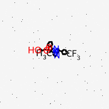 CC(Cc1ccccc1)(C(=O)OCCCO)c1ccnc2c(-c3ccc(C(F)(F)F)cc3)cnn12